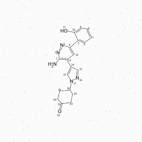 Nc1nnc(-c2ccccc2O)cc1-c1cnn(C2CCC(=O)CC2)c1